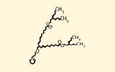 CCCCC(CCCC)CCOC(=O)CCCCCCCCCC(CCCCCCCCCC(=O)OCCC(CCCC)CCCC)COCCCN1CCCCC1